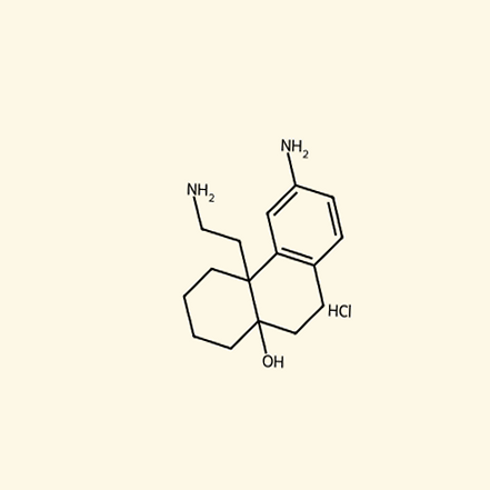 Cl.NCCC12CCCCC1(O)CCc1ccc(N)cc12